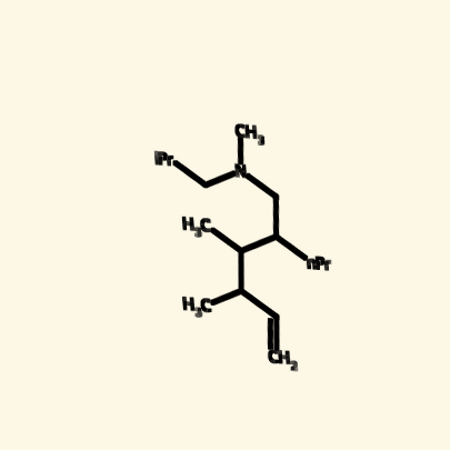 C=CC(C)C(C)C(CCC)CN(C)CC(C)C